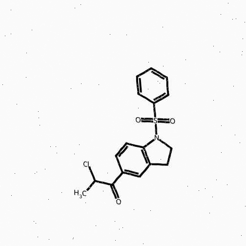 CC(Cl)C(=O)c1ccc2c(c1)CCN2S(=O)(=O)c1ccccc1